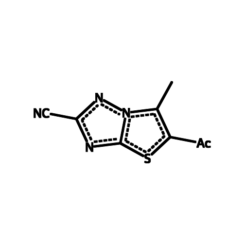 CC(=O)c1sc2nc(C#N)nn2c1C